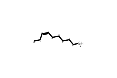 CC/C=C\CCCCCS